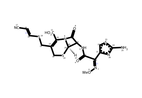 CO/N=C(\C(=O)NC1C(=O)N2C(C(=O)O)=C(CS/C=C/C#N)CS[C@H]12)c1csc(N)n1